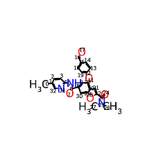 Cc1ccc(NC(=O)c2cc(Oc3ccc(C=O)cc3)c3cc(C(=O)N(C)C)oc3c2)nc1